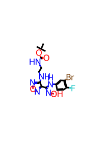 CC(C)(C)OC(=O)NCCNc1nonc1/C(=N/O)Nc1ccc(F)c(Br)c1